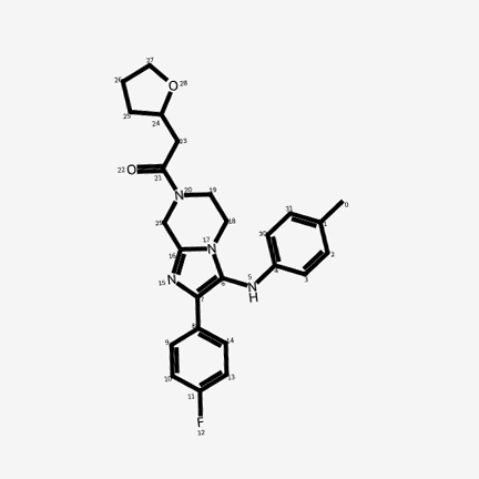 Cc1ccc(Nc2c(-c3ccc(F)cc3)nc3n2CCN(C(=O)CC2CCCO2)C3)cc1